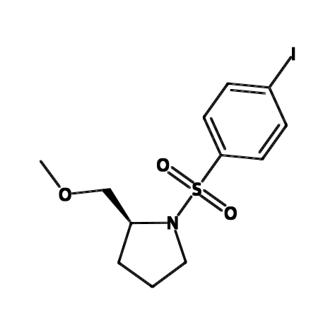 COC[C@@H]1CCCN1S(=O)(=O)c1ccc(I)cc1